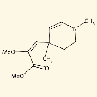 COC(=O)/C(=C\C1(C)C=CN(C)CC1)OC